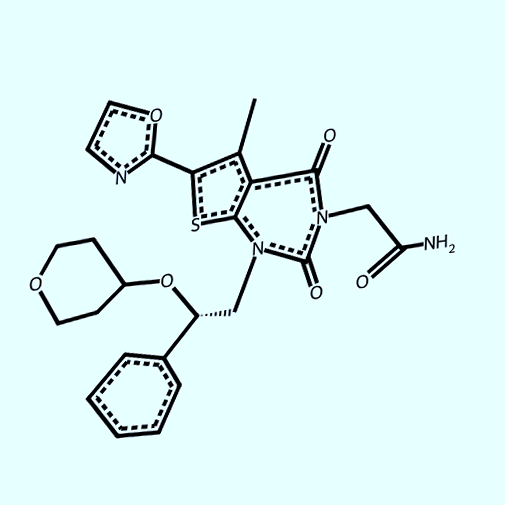 Cc1c(-c2ncco2)sc2c1c(=O)n(CC(N)=O)c(=O)n2C[C@@H](OC1CCOCC1)c1ccccc1